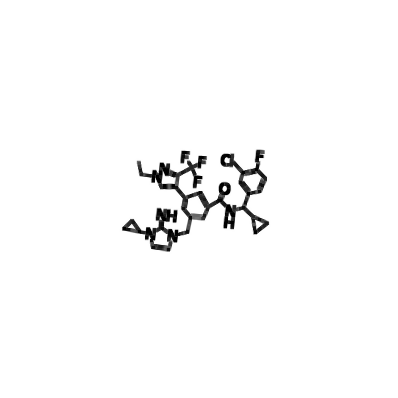 CCn1cc(-c2cc(Cn3ccn(C4CC4)c3=N)cc(C(=O)NC(c3ccc(F)c(Cl)c3)C3CC3)c2)c(C(F)(F)F)n1